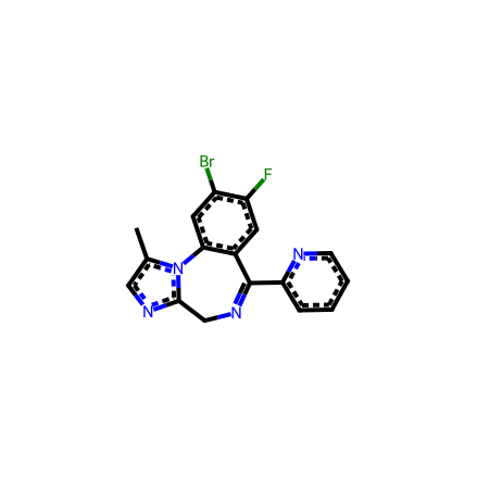 Cc1cnc2n1-c1cc(Br)c(F)cc1C(c1ccccn1)=NC2